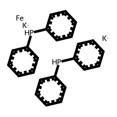 [Fe].[K].[K].c1ccc(Pc2ccccc2)cc1.c1ccc(Pc2ccccc2)cc1